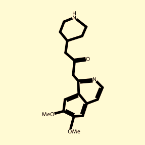 COc1cc2ccnc(CC(=O)CC3CCNCC3)c2cc1OC